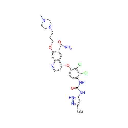 CN1CCN(CCCOc2cc3nccc(Oc4ccc(NC(=O)Nc5cc(C(C)(C)C)n[nH]5)c(Cl)c4Cl)c3cc2C(N)=O)CC1